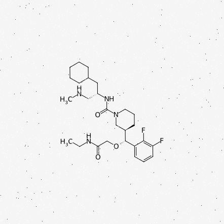 CCNC(=O)CO[C@@H](c1cccc(F)c1F)[C@@H]1CCCN(C(=O)N[C@H](CNC)CC2CCCCC2)C1